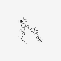 CCCCCCC.CCOC(=O)Cc1ccc(NC(C)=O)cc1OCc1cc(I)c2oc(CO[Si](C)(C)C(C)(C)C)cc2c1